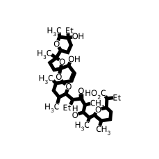 CCC(C(=O)O)C1CCC(C)C(C(C)C(O)C(C)C(=O)C(CC)C2OC3(C=CC(O)C4(CCC(C)(C5CCC(O)(CC)C(C)O5)O4)O3)C(C)CC2C)O1